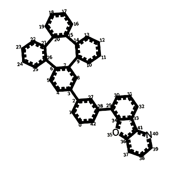 c1cc(-c2ccc3c(c2)-c2ccccc2-c2ccccc2-c2ccccc2-3)cc(-c2cccc3c2oc2cccnc23)c1